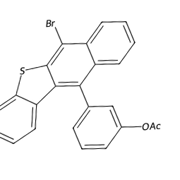 CC(=O)Oc1cccc(-c2c3ccccc3c(Br)c3sc4ccccc4c23)c1